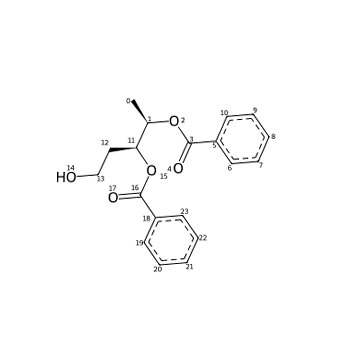 C[C@@H](OC(=O)c1ccccc1)[C@H](CCO)OC(=O)c1ccccc1